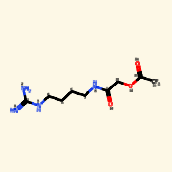 N=C(N)NCCCCNC(=O)COC(=O)C(F)(F)F